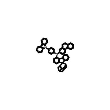 c1ccc2c(c1)-c1c(N(c3ccc(-n4c5ccccc5c5ccccc54)cc3)c3ccc4c(ccc5ccccc54)c3)cccc1C21C2CC3CC(C2)CC1C3